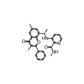 CNC(=O)c1ncccc1N[C@H](C)c1cc(C)cc2c(=O)c(C)c(-c3ccccc3)oc12